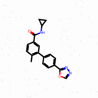 Cc1ccc(C(=O)NC2CC2)cc1-c1ccc(-c2nnco2)cc1